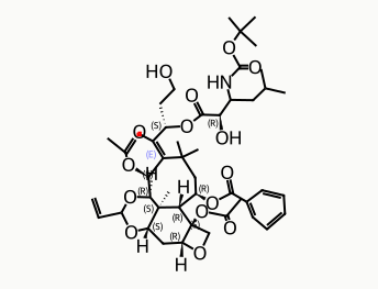 C=CC1O[C@H]2C[C@H]3OC[C@@]3(OC(C)=O)[C@H]3[C@H](OC(=O)c4ccccc4)CC(C)(C)/C(=C(/C)[C@H](CCO)OC(=O)[C@H](O)C(CC(C)C)NC(=O)OC(C)(C)C)[C@H](OC(C)=O)[C@H](O1)[C@]23C